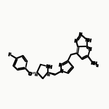 Nc1cc(Cc2ccn(C[C@H]3C[C@H](Oc4ccc(F)cc4)CN3)n2)c2nn[nH]c2n1